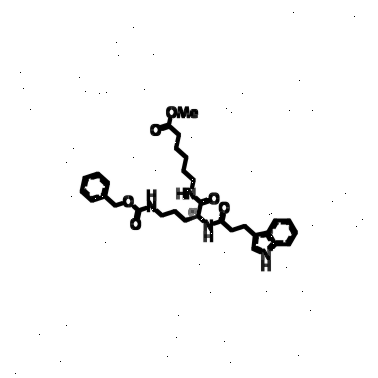 COC(=O)CCCCCNC(=O)[C@H](CCCNC(=O)OCc1ccccc1)NC(=O)CCc1c[nH]c2ccccc12